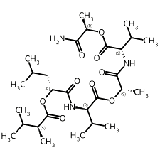 CC(C)C[C@@H](OC(=O)[C@@H](C)C(C)C)C(=O)N[C@@H](C(=O)O[C@@H](C)C(=O)N[C@H](C(=O)O[C@H](C)C(N)=O)C(C)C)C(C)C